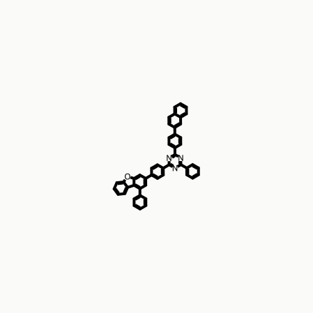 c1ccc(-c2nc(-c3ccc(-c4ccc5ccccc5c4)cc3)nc(-c3ccc(-c4cc(-c5ccccc5)c5c(c4)oc4ccccc45)cc3)n2)cc1